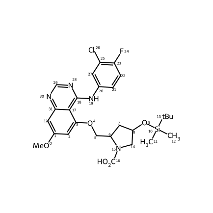 COc1cc(OCC2CC(O[Si](C)(C)C(C)(C)C)CN2C(=O)O)c2c(Nc3ccc(F)c(Cl)c3)ncnc2c1